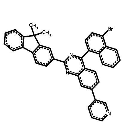 CC1(C)c2ccccc2-c2ccc(-c3nc(-c4ccc(Br)c5ccccc45)c4ccc(-c5cccnc5)cc4n3)cc21